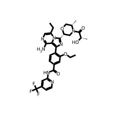 CCOc1cc(C(=O)Nc2cc(C(F)(F)F)ccn2)ccc1-c1nc([C@H]2CN(C(=O)[C@H](C)O)[C@@H](C)CO2)n2c(CC)cnc(N)c12